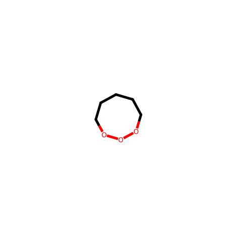 C1CCOOOCC1